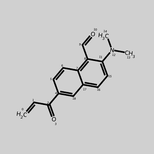 C=CC(=O)c1ccc2c(C=O)c(N(C)C)ccc2c1